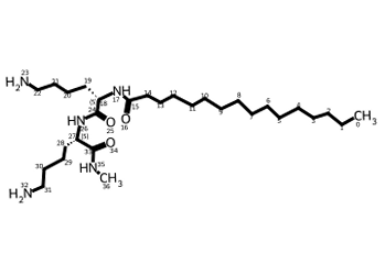 CCCCCCCCCCCCCCCC(=O)N[C@@H](CCCCN)C(=O)N[C@@H](CCCCN)C(=O)NC